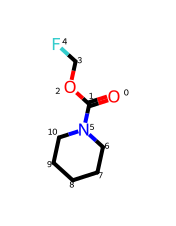 O=C(OCF)N1CCCCC1